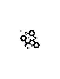 COc1cccc(NC(C(=O)C(=N)/C(=C\O)c2ccccc2)c2ccccc2)c1